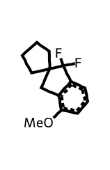 COc1cccc2c1CC1(CCCC1)C2(F)F